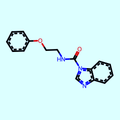 O=C(NCCOc1ccccc1)n1cnc2ccccc21